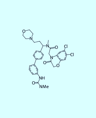 CNC(=O)Nc1cccc(-c2ccc(C(CCN3CCOCC3)N(C)C(=O)CN3C(=O)COc4cc(Cl)c(Cl)cc43)cc2)c1